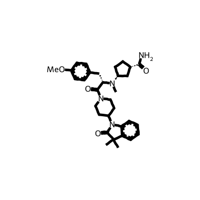 COc1ccc(C[C@@H](C(=O)N2CCC(N3C(=O)C(C)(C)c4ccccc43)CC2)N(C)[C@@H]2CC[C@H](C(N)=O)C2)cc1